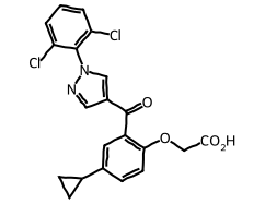 O=C(O)COc1ccc(C2CC2)cc1C(=O)c1cnn(-c2c(Cl)cccc2Cl)c1